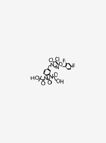 CC(C)(O)C(=O)n1c(=O)n(C(=O)CO)c2cc(Cn3cnc(OCc4ccc(F)cc4F)c(Cl)c3=O)ccc21